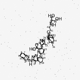 Cc1c(Nc2nc3ccccc3s2)nnc2c1CCCN2c1ccc(-c2cnn(C[C@]34C[C@]5(C)C[C@](C)(C3)C[C@@](OCCNCC(CO)CO)(C5)C4)c2C)c(C(=O)O)n1